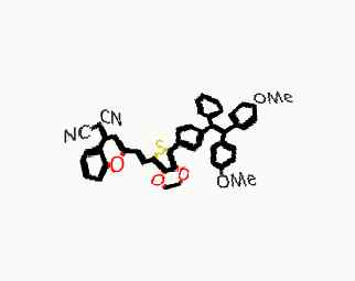 COc1ccc(C(=C(c2ccccc2)c2ccc(-c3sc(C=CC4=CC(=C(C#N)C#N)c5ccccc5O4)c4c3OCCO4)cc2)c2ccc(OC)cc2)cc1